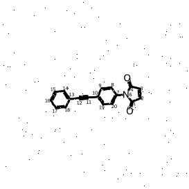 O=C1C=CC(=O)N1c1ccc(C#Cc2ccccc2)cc1